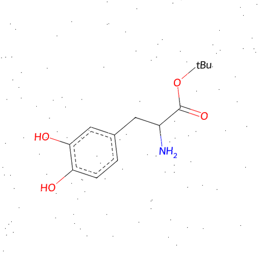 CC(C)(C)OC(=O)C(N)Cc1ccc(O)c(O)c1